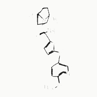 COc1ccc(Oc2ccc(C(=O)N[C@@H]3C[C@H]4CC[C@@H]3N4)s2)cn1